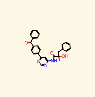 CC(O)(Cc1ccccc1)C(=O)Nc1cc(-c2ccc(C(=O)c3ccccc3)cc2)ncn1